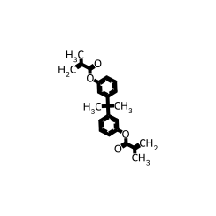 C=C(C)C(=O)Oc1cccc(C(C)(C)c2cccc(OC(=O)C(=C)C)c2)c1